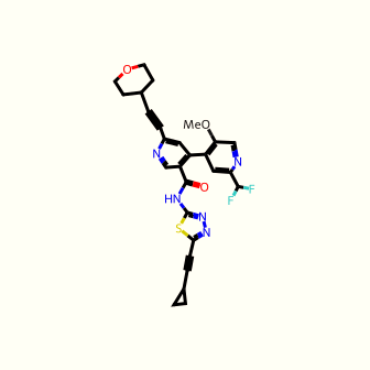 COc1cnc(C(F)F)cc1-c1cc(C#CC2CCOCC2)ncc1C(=O)Nc1nnc(C#CC2CC2)s1